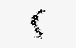 Cc1cc(OCCC(C)(C)O)cc(C)c1-c1cccc(COc2ccc([C@H]3C[C@@H]3C(=O)O)nc2)c1